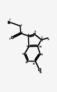 Cn1nc(C(=O)CBr)c2ccc(Cl)cc21